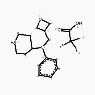 O=C(O)C(F)(F)F.c1ccc(N(CC2COC2)C2CCNCC2)cc1